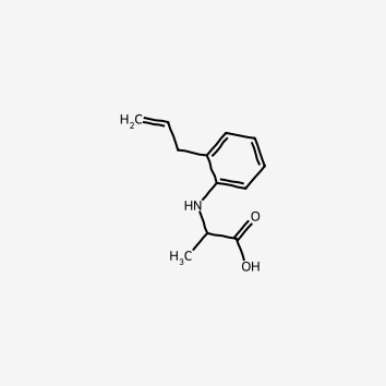 C=CCc1ccccc1NC(C)C(=O)O